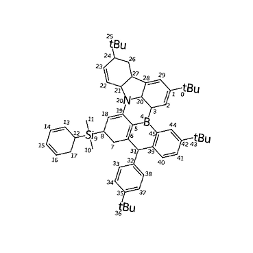 CC(C)(C)C1=CC2B3C4=C(CC([Si](C)(C)C5C=CC=CC5)C=C4N4C5C=CC(C(C)(C)C)CC5C(=C1)C24)C(c1ccc(C(C)(C)C)cc1)c1ccc(C(C)(C)C)cc13